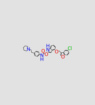 O=C(Nc1ccc(CCN2CCCCC2)cc1)Oc1cc2c(OCc3coc4ccc(Cl)cc34)cccc2[nH]1